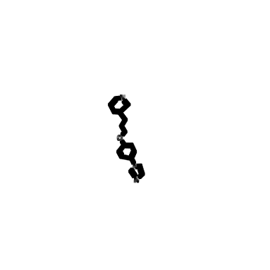 c1cncc(CCCOc2ccc(-n3ccnc3)cc2)c1